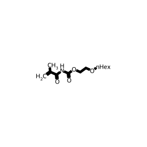 C=C(C)C(=O)NC(=O)OCCOCCCCCC